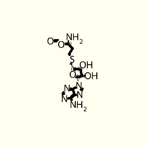 Nc1ncnc2c1ncn2[C@@H]1O[C@H](CSCC[C@H](N)OC=O)[C@@H](O)[C@H]1O